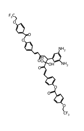 Nc1cc(N)cc(C(CC(=O)C=Cc2ccc(OC(=O)c3ccc(OCC(F)(F)F)cc3)cc2)C(O)(O)C(=O)C=Cc2ccc(OC(=O)c3ccc(OCC(F)(F)F)cc3)cc2)c1